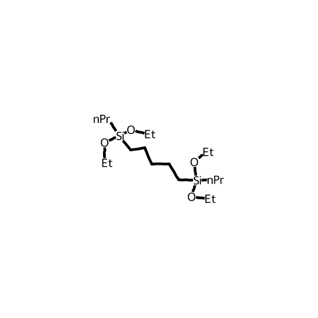 CCC[Si](CCCCC[Si](CCC)(OCC)OCC)(OCC)OCC